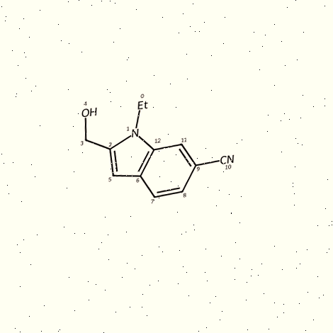 CCn1c(CO)cc2ccc(C#N)cc21